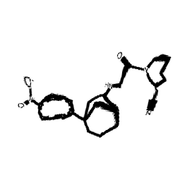 N#C[C@@H]1CCCN1C(=O)CNC1CC2(c3ccc([N+](=O)[O-])cc3)CCCC1C2